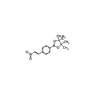 CC1(C)OB(c2ccc(/C=C/[N+](=O)[O-])cc2)OC1(C)C